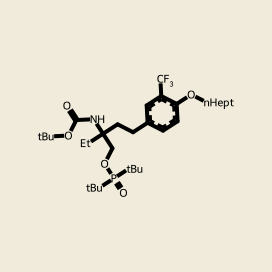 CCCCCCCOc1ccc(CCC(CC)(COP(=O)(C(C)(C)C)C(C)(C)C)NC(=O)OC(C)(C)C)cc1C(F)(F)F